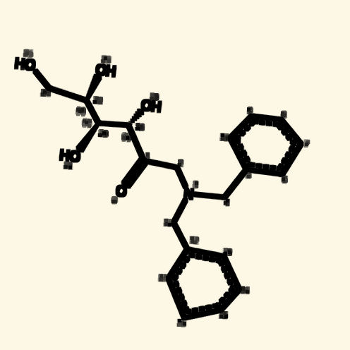 O=C(CN(Cc1ccccc1)Cc1ccccc1)[C@@H](O)[C@@H](O)[C@H](O)CO